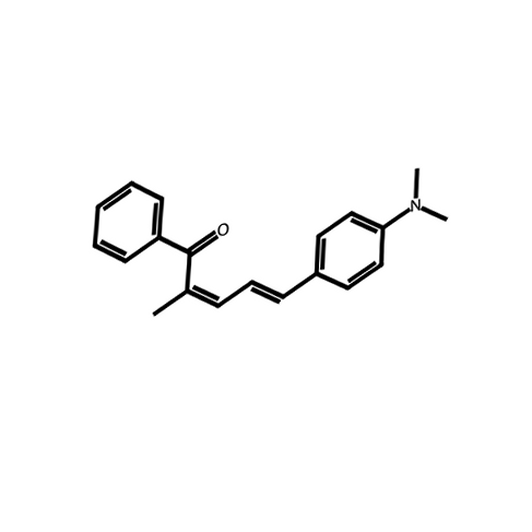 CC(=CC=Cc1ccc(N(C)C)cc1)C(=O)c1ccccc1